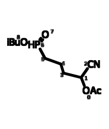 CC(=O)OC(C#N)CCC[PH](=O)OCC(C)C